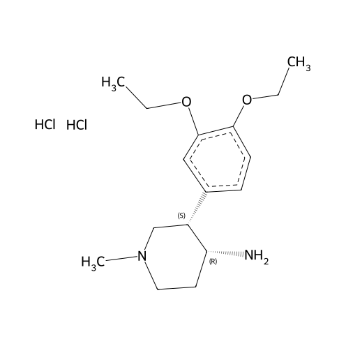 CCOc1ccc([C@H]2CN(C)CC[C@H]2N)cc1OCC.Cl.Cl